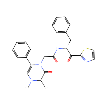 CC(=O)N1C=C(c2ccccc2)N(CC(=O)N[C@@H](Cc2ccccc2)C(=O)c2nccs2)C(=O)C1C(C)C